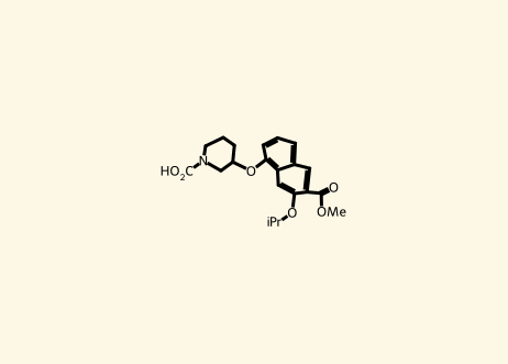 COC(=O)c1cc2cccc(OC3CCCN(C(=O)O)C3)c2cc1OC(C)C